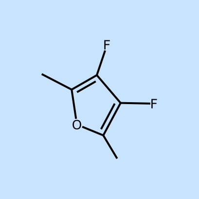 Cc1oc(C)c(F)c1F